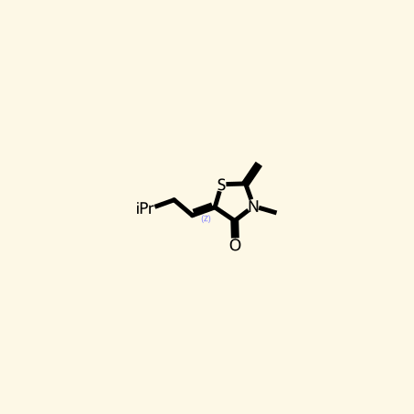 C=c1s/c(=C\CC(C)C)c(=O)n1C